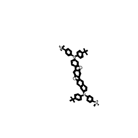 CC(C)(C)c1ccc(N(c2ccc([Si](C)(C)C)cc2)c2ccc3cc4c(cc3c2)oc2cc3c(cc24)oc2cc(N(c4ccc(C(C)(C)C)cc4)c4ccc([Si](C)(C)C)cc4)ccc23)cc1